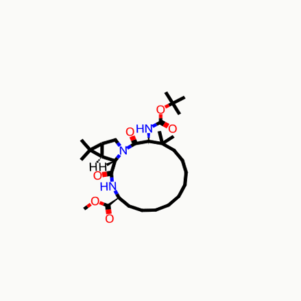 COC(=O)[C@@H]1CCCCCCCCCC(C)(C)[C@H](NC(=O)OC(C)(C)C)C(=O)N2CC3[C@@H]([C@H]2C(=O)N1)C3(C)C